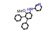 COc1c(Nc2cccnc2)ccc(-c2ccccc2)c1-c1ccccc1